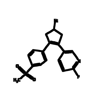 CCC1CC(c2ccc(S(C)(=O)=O)cc2)=C(c2ccc(F)nc2)C1